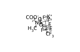 CN(CC(=O)[O-])S(=O)(=O)C(F)(F)C(F)(F)C(F)(F)C(F)(F)F.[K+]